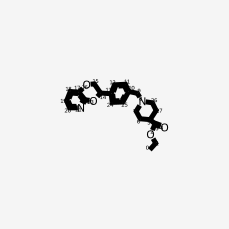 CCOC(=O)C1CCN(Cc2ccc(C3COc4cccnc4O3)cc2)CC1